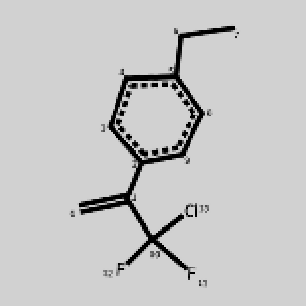 C=C(c1ccc(CC)cc1)C(F)(F)Cl